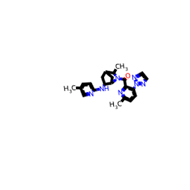 Cc1ccc(NC2CC3CC2N(C(=O)c2nc(C)ccc2-n2nccn2)C3C)nc1